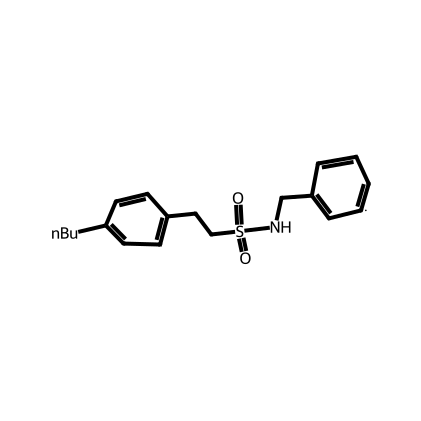 CCCCc1ccc(CCS(=O)(=O)NCc2c[c]ccc2)cc1